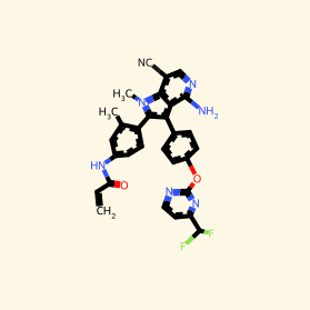 C=CC(=O)Nc1ccc(-c2c(-c3ccc(Oc4nccc(C(F)F)n4)cc3)c3c(N)ncc(C#N)c3n2C)c(C)c1